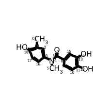 Cc1cc(N(C)C(=O)c2ccc(O)c(O)c2)ccc1O